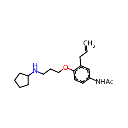 C=CCc1cc(NC(C)=O)ccc1OCCCNC1CCCC1